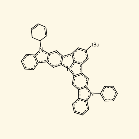 CC(C)(C)c1cc2c3cc4c(cc3n3c5cc6c7ccccc7n(C7C=CC=CC7)c6cc5c(c1)c23)c1ccccc1n4-c1ccccc1